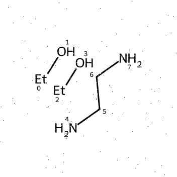 CCO.CCO.NCCN